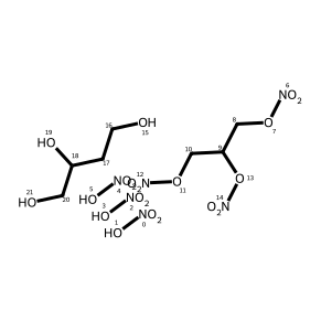 O=[N+]([O-])O.O=[N+]([O-])O.O=[N+]([O-])O.O=[N+]([O-])OCC(CO[N+](=O)[O-])O[N+](=O)[O-].OCCC(O)CO